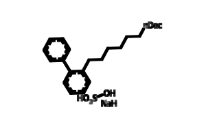 CCCCCCCCCCCCCCCCc1ccccc1-c1ccccc1.O=S(=O)(O)O.[NaH]